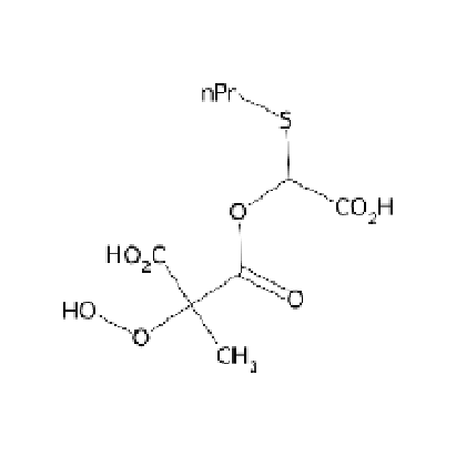 CCCSC(OC(=O)C(C)(OO)C(=O)O)C(=O)O